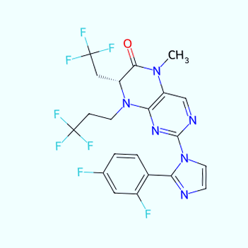 CN1C(=O)[C@@H](CC(F)(F)F)N(CCC(F)(F)F)c2nc(-n3ccnc3-c3ccc(F)cc3F)ncc21